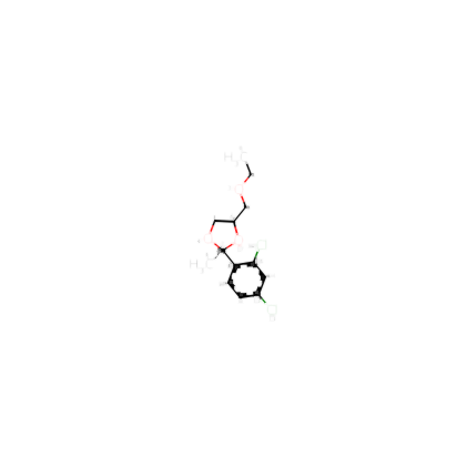 CCOCC1CO[C@@](C)(c2ccc(Cl)cc2Cl)O1